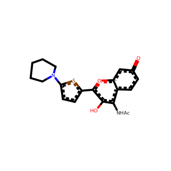 CC(=O)Nc1c2ccc(=O)cc-2oc(-c2ccc(N3CCCCC3)s2)c1O